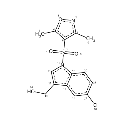 Cc1noc(C)c1S(=O)(=O)n1cc(CO)c2cc(Cl)ccc21